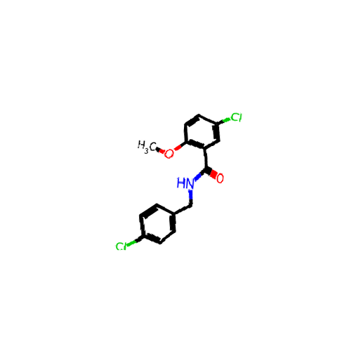 COc1ccc(Cl)cc1C(=O)NCc1ccc(Cl)cc1